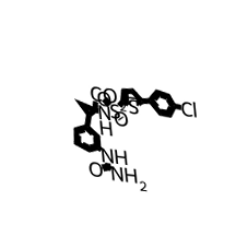 NC(=O)Nc1cccc(C2CC2(NS(=O)(=O)C2=CCC(c3ccc(Cl)cc3)S2)C(=O)O)c1